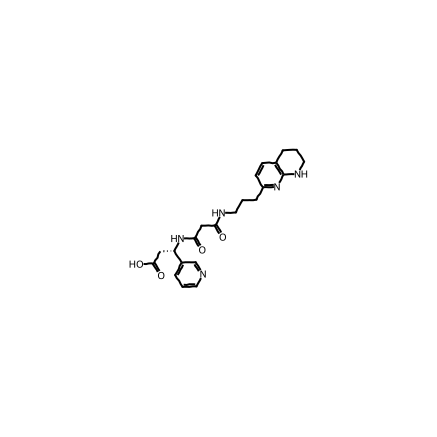 O=C(O)C[C@H](NC(=O)CC(=O)NCCCc1ccc2c(n1)NCCC2)c1cccnc1